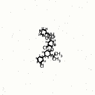 CN(C)C1CC(c2cccc(Cl)c2)CCC1Oc1ncc(S(=O)(=O)Nc2ccncn2)cc1Cl